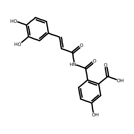 O=C(/C=C/c1ccc(O)c(O)c1)NC(=O)c1ccc(O)cc1C(=O)O